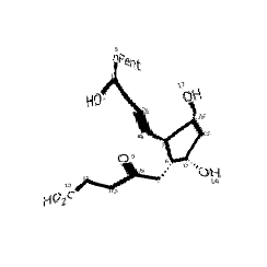 CCCCC[C@H](O)/C=C/[C@@H]1[C@@H](CC(=O)CCC(=O)O)[C@@H](O)C[C@@H]1O